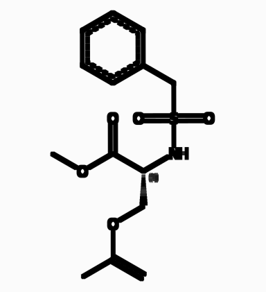 C=C(C)OC[C@@H](NS(=O)(=O)Cc1ccccc1)C(=O)OC